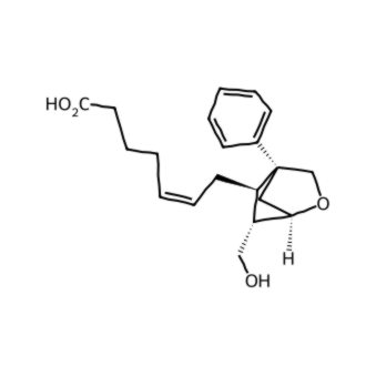 O=C(O)CCC/C=C\C[C@@H]1[C@@H](CO)[C@H]2C[C@]1(c1ccccc1)CO2